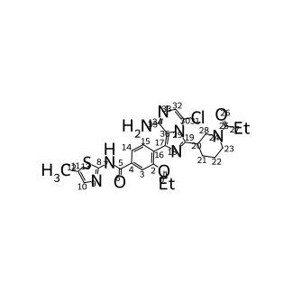 CCOc1cc(C(=O)Nc2ncc(C)s2)ccc1-c1nc(C2CCCN(C(=O)CC)C2)n2c(Cl)cnc(N)c12